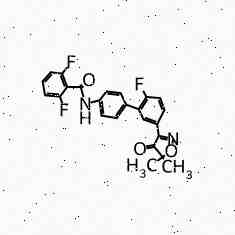 CC1(C)ON=C(c2ccc(F)c(-c3ccc(NC(=O)c4c(F)cccc4F)cc3)c2)C1=O